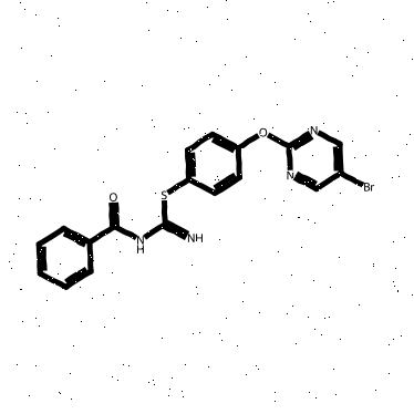 N=C(NC(=O)c1ccccc1)Sc1ccc(Oc2ncc(Br)cn2)cc1